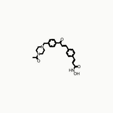 CC(=O)N1CCN(Cc2ccc(C(=O)C=Cc3ccc(C=CC(=O)NO)cc3)cc2)CC1